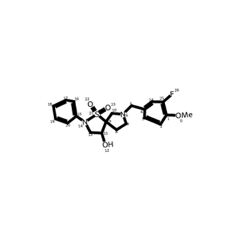 COc1ccc(CN2CCC3(C2)C(O)CN(c2ccccc2)S3(=O)=O)cc1F